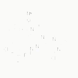 CSc1nc(Cl)c(/C=N/Nc2cccc(Cl)c2C(F)(F)F)c(N2CCN(C(=O)OC(C)(C)C)C(CC#N)C2)n1